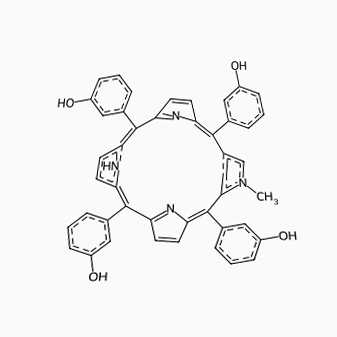 Cn1cc2cc1/C(c1cccc(O)c1)=C1/C=CC(=N1)/C(c1cccc(O)c1)=c1/cc/c([nH]1)=C(\c1cccc(O)c1)C1=N/C(=C\2c2cccc(O)c2)C=C1